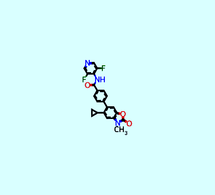 Cn1c(=O)oc2cc(-c3ccc(C(=O)Nc4c(F)cncc4F)cc3)c(C3CC3)cc21